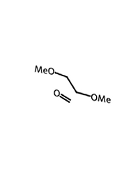 C=O.COCCOC